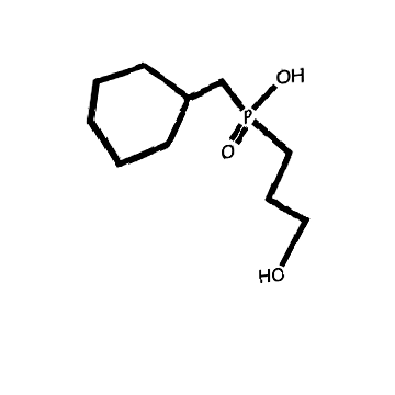 O=P(O)(CCCO)CC1CCCCC1